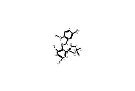 COc1ccc(Br)cc1CSc1c(F)cc(F)cc1C1=NCC(C)(C)N1